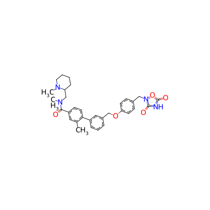 Cc1cc(C(=O)N(C)CC2CCCCN2C)ccc1-c1cccc(COc2ccc(Cn3oc(=O)[nH]c3=O)cc2)c1